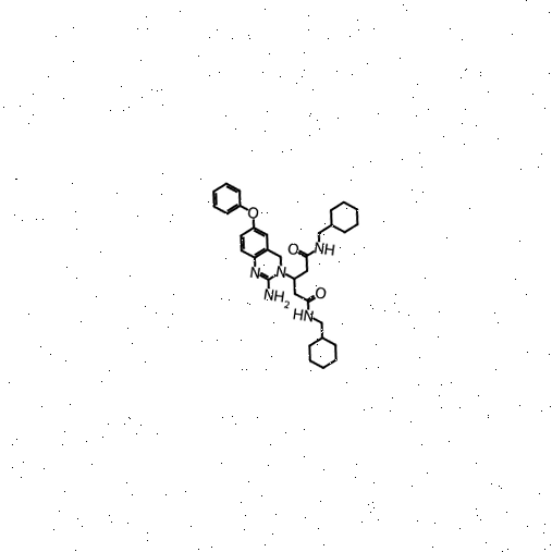 NC1=Nc2ccc(Oc3ccccc3)cc2CN1C(CC(=O)NCC1CCCCC1)CC(=O)NCC1CCCCC1